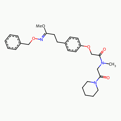 COC(CCc1ccc(OCC(=O)N(C)CC(=O)N2CCCCC2)cc1)=NOCc1ccccc1